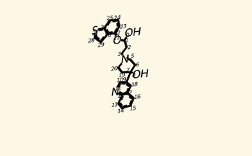 OC(CCN1CCC(O)(c2cnc3ccccc3c2)CC1)Oc1cccc2sccc12